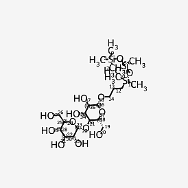 C[Si](C)(C)O[Si](C)(C)O[Si](C)(C)CCCO[C@@H]1O[C@H](CO)[C@@H](O[C@H]2O[C@H](CO)[C@@H](O)[C@H](O)[C@H]2O)[C@H](O)[C@H]1O